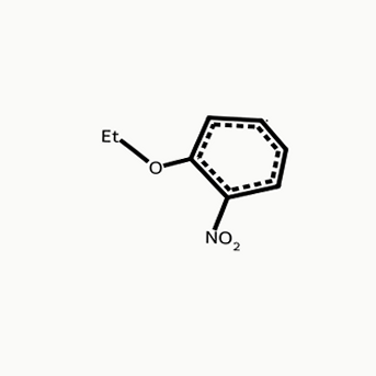 CCOc1c[c]ccc1[N+](=O)[O-]